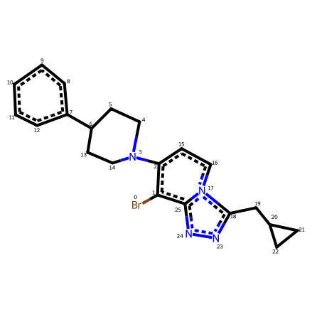 Brc1c(N2CCC(c3ccccc3)CC2)ccn2c(CC3CC3)nnc12